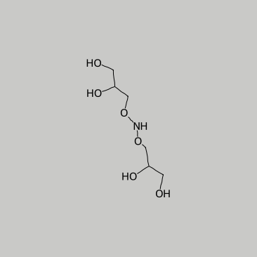 OCC(O)CONOCC(O)CO